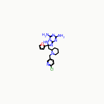 NC1=NC2=NC(CC3CCCCN3Cc3ccc(Cl)nc3)(c3ccco3)NN2C(N)=N1